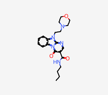 CCCCNC(=O)c1cnc2n(CCN3CCOCC3)c3ccccc3n2c1=O